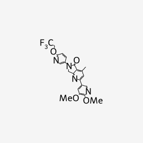 COc1cc(-c2cc(C)c3c(n2)CN(c2ccc(OCC(F)(F)F)nc2)C3=O)cnc1OC